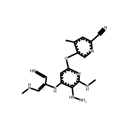 CN/C=C(\C=N)Nc1cc(Oc2cnc(C#N)cc2C)nc(NC)c1NN